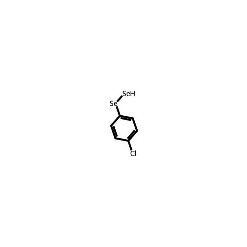 Clc1ccc([Se][SeH])cc1